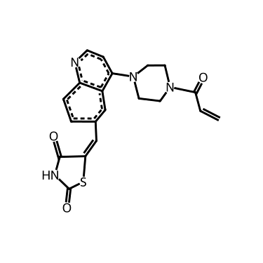 C=CC(=O)N1CCN(c2ccnc3ccc(C=C4SC(=O)NC4=O)cc23)CC1